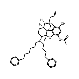 C=CCN1CC[C@]23c4c5c(O)cc(OC(C)=O)c4O[C@H]2[C@@H](N(CCCCCCc2ccccc2)CCCCc2ccccc2)CC[C@H]3[C@H]1C5